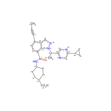 CC#Cc1ccc(C(=O)NC2CCC(C(=O)O)CC2)c2c1cnn2C(C)c1cnc(C2CC2)cn1